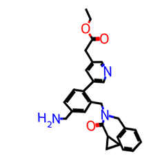 CCOC(=O)Cc1cncc(-c2ccc(CN)cc2CN(Cc2ccccc2)C(=O)C2CC2)c1